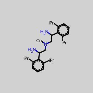 CC(C)c1cccc(C(C)C)c1C(N)C[N]([Co])CC(N)c1c(C(C)C)cccc1C(C)C